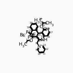 CCOC(=O)C1=C(C[n+]2ccccc2)Nc2ccnc(OC(C)C)c2C1c1ccccc1C(F)(F)F.[Br-]